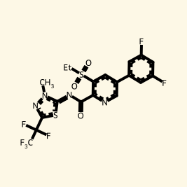 CCS(=O)(=O)c1cc(-c2cc(F)cc(F)c2)cnc1C(=O)/N=c1\sc(C(F)(F)C(F)(F)F)nn1C